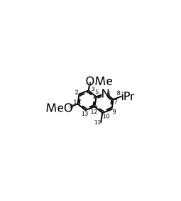 COc1cc(OC)c2nc(C(C)C)cc(C)c2c1